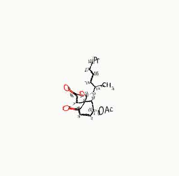 CC(=O)O[C@@H]1C=CC(=O)C2(CC(=O)O[C@@H]2CC(C)CCCC(C)C)C1